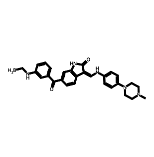 BCNc1cccc(C(=O)c2ccc3c(c2)NC(=O)C3=CNc2ccc(N3CCN(C)CC3)cc2)c1